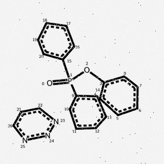 O=P(Oc1ccccc1)(c1ccccc1)c1ccccc1.c1cnnnc1